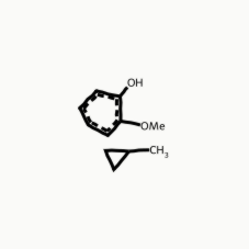 CC1CC1.COc1ccccc1O